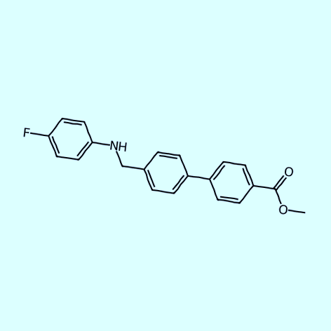 COC(=O)c1ccc(-c2ccc(CNc3ccc(F)cc3)cc2)cc1